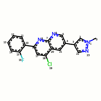 Cn1cc(-c2cnc3nc(-c4ccccc4F)cc(Cl)c3c2)cn1